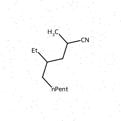 CCCCCCC(CC)CC(C)C#N